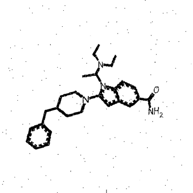 CCN(CC)C(C)n1c(N2CCC(Cc3ccccc3)CC2)cc2cc(C(N)=O)ccc21